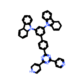 C1=CC2c3ccccc3N(c3cc(-c4ccc(-c5nc(C6=CCNC=C6)nc(-c6ccncc6)n5)cc4)cc(-n4c5c(c6ccccc64)CCC=C5)c3)C2C=C1